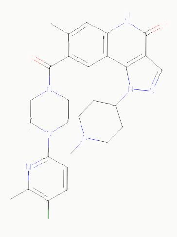 Cc1cc2[nH]c(=O)c3cnn(C4CCN(C)CC4)c3c2cc1C(=O)N1CCN(c2ccc(F)c(C)n2)[C@H](C)C1